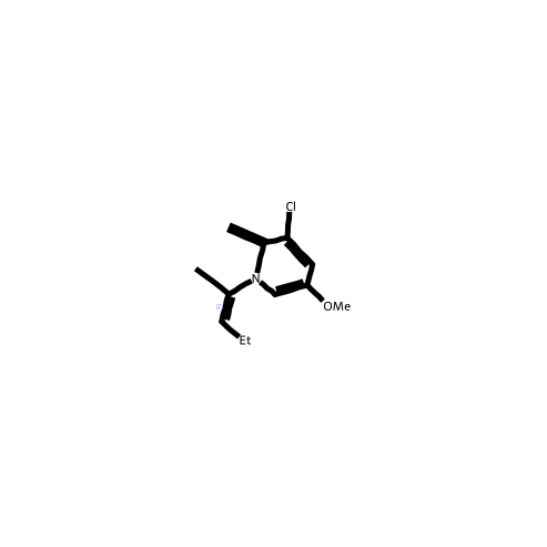 C=C1C(Cl)=CC(OC)=CN1/C(C)=C\CC